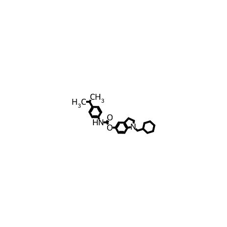 CC(C)c1ccc(NC(=O)Oc2ccc3c(c2)CCN3CC2CCCCC2)cc1